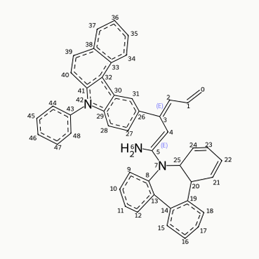 C=C/C=C(\C=C(/N)N1c2ccccc2-c2ccccc2C2C=CC=CC21)c1ccc2c(c1)c1c3ccccc3ccc1n2-c1ccccc1